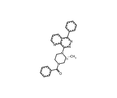 C[C@@H]1CN(C(=O)c2ccccc2)CCN1c1nnc(-c2ccccc2)c2cccnc12